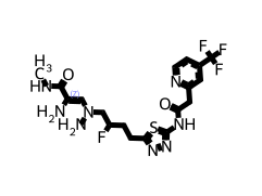 CNC(=O)/C(N)=C/N(N)CC(F)CCc1nnc(NC(=O)Cc2cc(C(F)(F)F)ccn2)s1